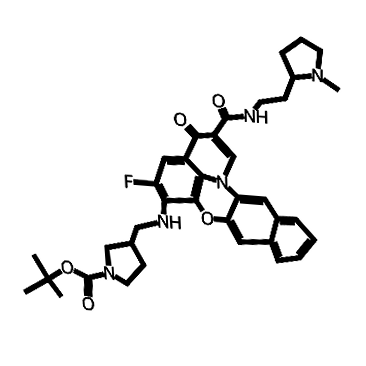 CN1CCCC1CCNC(=O)c1cn2c3c(c(NCC4CCN(C(=O)OC(C)(C)C)C4)c(F)cc3c1=O)Oc1cc3ccccc3cc1-2